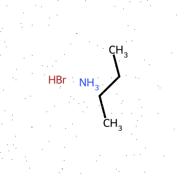 Br.CCCC.N